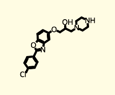 OC(COc1ccc2oc(-c3ccc(Cl)cc3)nc2c1)CN1CCNCC1